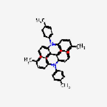 Cc1ccc(N(c2ccc(C)cc2)c2ccccc2-c2ccccc2N(c2ccc(C)cc2)c2ccc(C)cc2)cc1